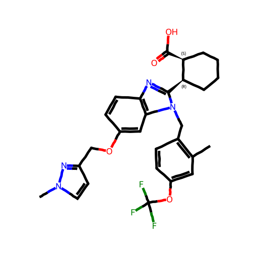 Cc1cc(OC(F)(F)F)ccc1Cn1c([C@@H]2CCCC[C@@H]2C(=O)O)nc2ccc(OCc3ccn(C)n3)cc21